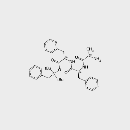 C[C@H](N)C(=O)N[C@@H](Cc1ccccc1)C(=O)N[C@@H](Cc1ccccc1)C(=O)O[Si](Cc1ccccc1)(C(C)(C)C)C(C)(C)C